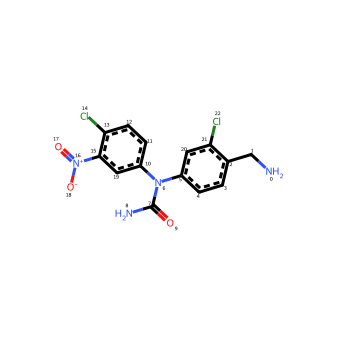 NCc1ccc(N(C(N)=O)c2ccc(Cl)c([N+](=O)[O-])c2)cc1Cl